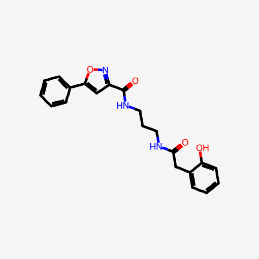 O=C(Cc1ccccc1O)NCCCNC(=O)c1cc(-c2ccccc2)on1